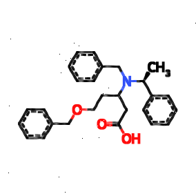 C[C@@H](c1ccccc1)N(Cc1ccccc1)C(CCOCc1ccccc1)CC(=O)O